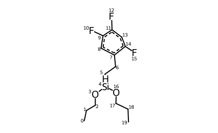 CCCO[SiH](CCc1cc(F)c(F)cc1F)OCCC